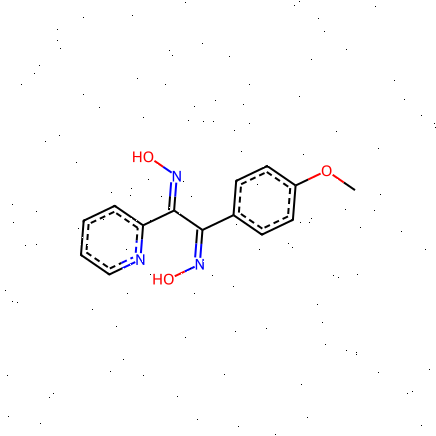 COc1ccc(C(=NO)C(=NO)c2ccccn2)cc1